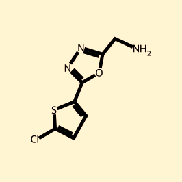 NCc1nnc(-c2ccc(Cl)s2)o1